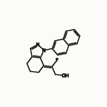 OC/C(F)=C1\CCCc2cnn(-c3ccc4ccccc4c3)c21